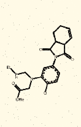 CCPCN(CC(=O)OC)c1cc(N2C(=O)C3C=CCCC3C2=O)ccc1Cl